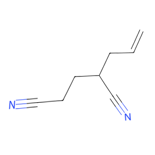 C=CCC(C#N)CCC#N